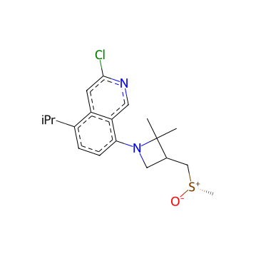 CC(C)c1ccc(N2CC(C[S@+](C)[O-])C2(C)C)c2cnc(Cl)cc12